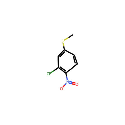 CSc1ccc([N+](=O)[O-])c(Cl)c1